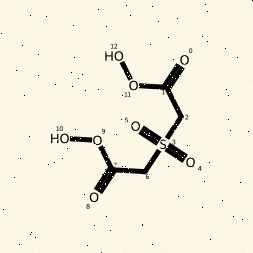 O=C(CS(=O)(=O)CC(=O)OO)OO